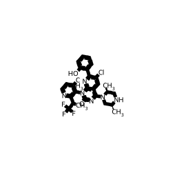 Cc1ccnc(C(C)C(F)(F)F)c1-n1c(=O)nc(N2C[C@@H](C)NC[C@@H]2C)c2cc(Cl)c(-c3ccccc3O)nc21